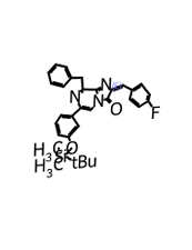 CC(C)(C)[Si](C)(C)Oc1cccc(C2=CN3C(=O)/C(=C\c4ccc(F)cc4)N=C3C(Cc3ccccc3)=N2)c1